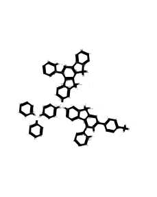 CC(C)(C)c1ccc(-c2cc3c(c4c2oc2ccccc24)-c2ccc(N(c4ccc(N(c5ccccc5)c5ccccc5)cc4)c4ccc5c(c4)C(C)(C)c4c6c(c7oc8ccccc8c7c4-5)-c4ccccc4C6(C)C)cc2C3(C)C)cc1